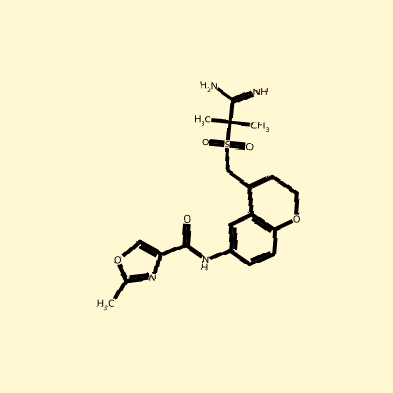 Cc1nc(C(=O)Nc2ccc3c(c2)C(CS(=O)(=O)C(C)(C)C(=N)N)CCO3)co1